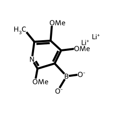 COc1nc(C)c(OC)c(OC)c1B([O-])[O-].[Li+].[Li+]